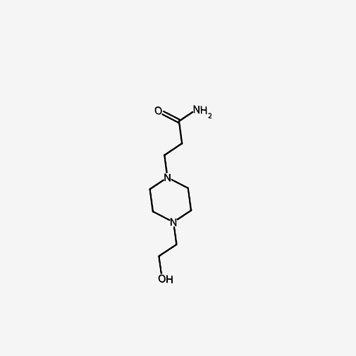 NC(=O)CCN1CCN(CCO)CC1